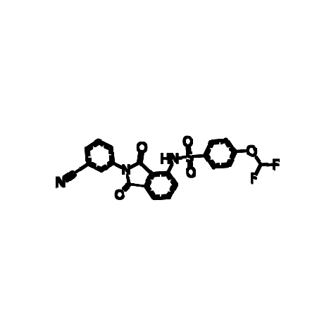 N#Cc1cccc(N2C(=O)c3cccc(NS(=O)(=O)c4ccc(OC(F)F)cc4)c3C2=O)c1